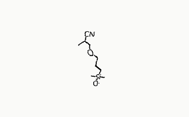 CC(C#N)COCCC[Si](C)(C)[O]